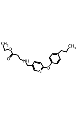 CCCc1ccc(Oc2ccc(CNCCC(=O)OCC)cn2)cc1